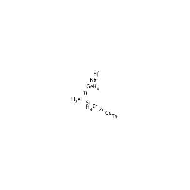 [AlH3].[Ce].[Cr].[GeH4].[Hf].[Nb].[SiH4].[Ta].[Ti].[Zr]